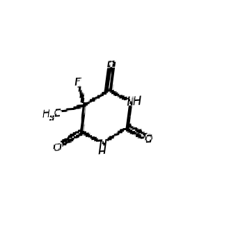 CC1(F)C(=O)NC(=O)NC1=O